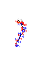 CC(CPC(=O)N[C@@H](CCC(=O)N[C@@H](CO)C(=O)NCC(=O)NCC(=O)NCC(=O)NCC(=O)NCCON)C(=O)O)C(=O)O